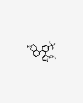 Cn1nccc1-c1cc(C(F)(F)F)ccc1-c1cccc2c1CCNC2